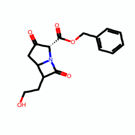 O=C1CC2C(CCO)C(=O)N2[C@H]1C(=O)OCc1ccccc1